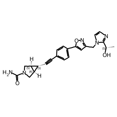 C[C@H](O)c1nccn1Cc1cc(-c2ccc(C#C[C@@H]3[C@H]4CN(C(N)=O)C[C@@H]34)cc2)on1